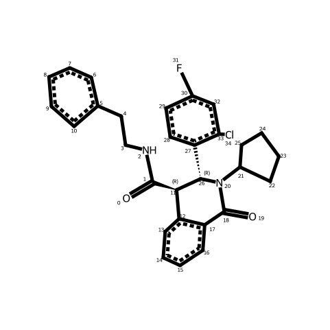 O=C(NCCc1ccccc1)[C@@H]1c2ccccc2C(=O)N(C2CCCC2)[C@H]1c1ccc(F)cc1Cl